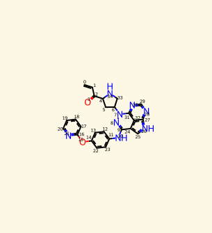 C=CC(=O)C1CC(N2N=C(Nc3ccc(Oc4ccccn4)cc3)c3c[nH]c4ncnc2c34)CN1